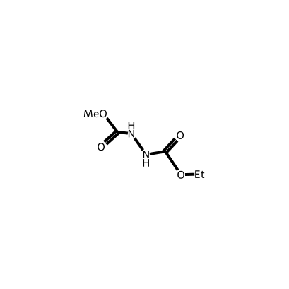 CCOC(=O)NNC(=O)OC